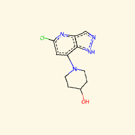 OC1CCN(c2cc(Cl)nc3cn[nH]c23)CC1